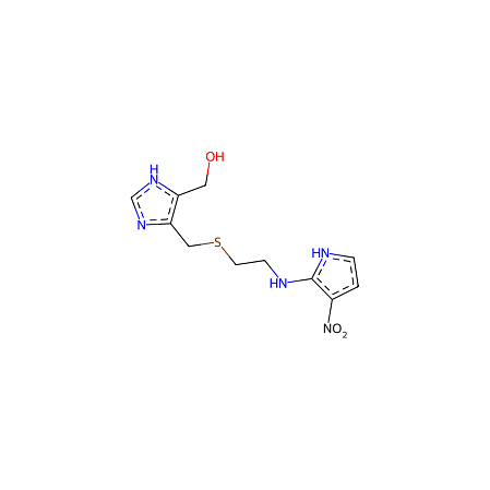 O=[N+]([O-])c1cc[nH]c1NCCSCc1nc[nH]c1CO